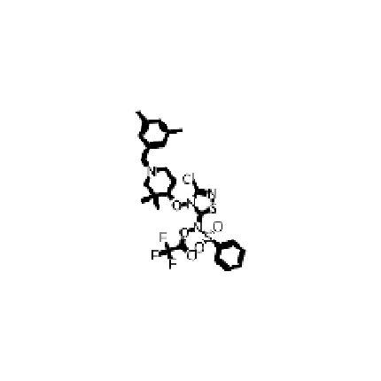 Cc1cc(C)cc(CN2CCC(ON3C(Cl)=NSC3N(OC(=O)C(F)(F)F)S(=O)(=O)c3ccccc3)C(C)(C)C2)c1